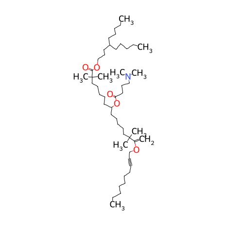 C=C(OCC#CCCCCCCC)C(C)(C)CCCCCC(CCCCCC(C)(C)C(=O)OCCCC(CCCCC)CCCCC)OC(=O)CCCN(C)C